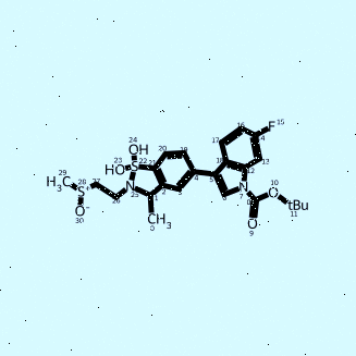 CC1c2cc(-c3cn(C(=O)OC(C)(C)C)c4cc(F)ccc34)ccc2S(O)(O)N1CC[S+](C)[O-]